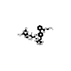 CCOC(=O)c1ccccc1-c1ccc(CC(OC[C@@H](OC)[C@@H](O)[C@H](F)n2cnc3c(N)nc(Cl)nc32)(C(=O)O)C(=O)O)cc1